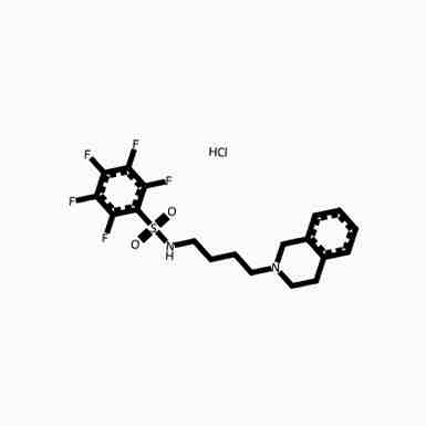 Cl.O=S(=O)(NCCCCN1CCc2ccccc2C1)c1c(F)c(F)c(F)c(F)c1F